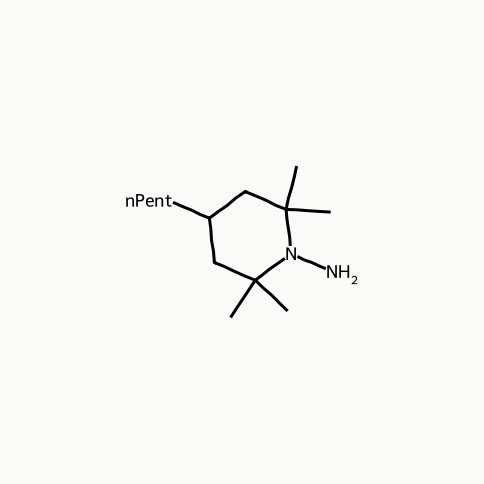 CCCCCC1CC(C)(C)N(N)C(C)(C)C1